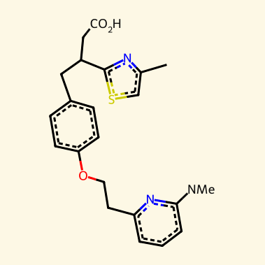 CNc1cccc(CCOc2ccc(CC(CC(=O)O)c3nc(C)cs3)cc2)n1